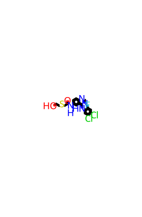 O=C(CSCCO)Nc1ccc2ncnc(Nc3cc(Cl)c(Cl)cc3F)c2c1